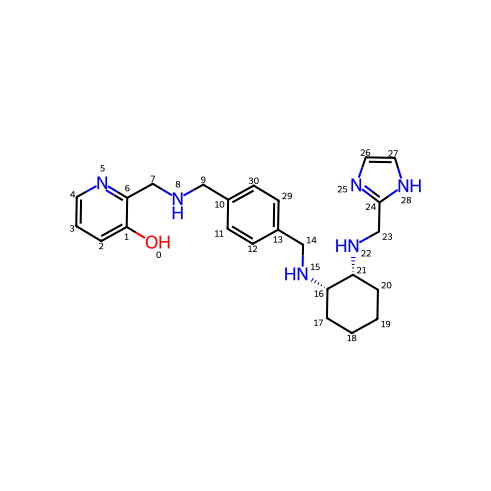 Oc1cccnc1CNCc1ccc(CN[C@H]2CCCC[C@H]2NCc2ncc[nH]2)cc1